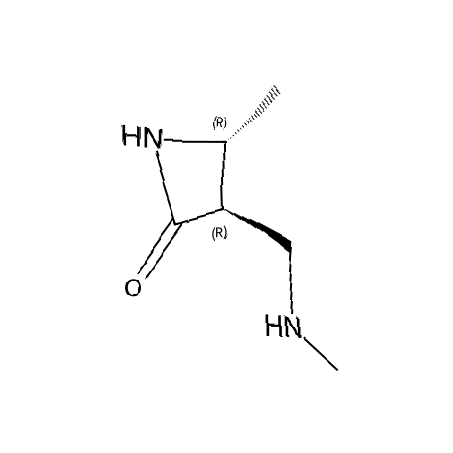 CNC[C@H]1C(=O)N[C@@H]1C